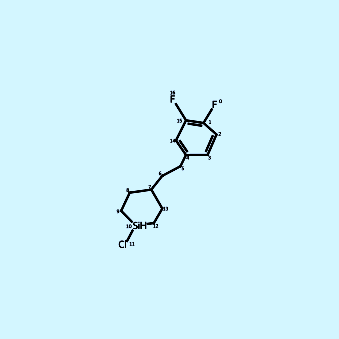 Fc1ccc(CCC2CC[SiH](Cl)CC2)cc1F